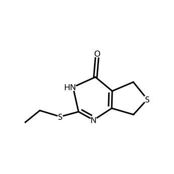 CCSc1nc2c(c(=O)[nH]1)CSC2